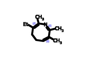 CC/C1=C(C)/N=C(C)\C(C)=C/CC1